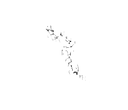 CC(NC(=O)c1ncnc2c1cnn2C)c1ncc(C(=O)Nc2ccc3c(c2)CCN(C(=O)OC(C)(C)C)C3)s1